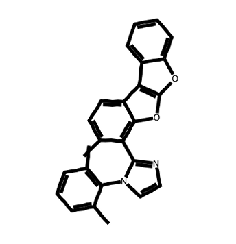 Cc1cccc(C)c1-n1ccnc1-c1c(C)ccc2c1oc1oc3ccccc3c12